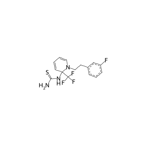 NC(=S)NC1(C(F)(F)F)C=CC=CN1CCc1cccc(F)c1